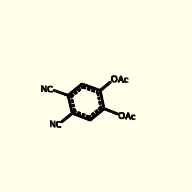 CC(=O)Oc1cc(C#N)c(C#N)cc1OC(C)=O